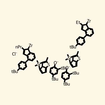 CC(C)(C)c1ccc([O-])c(C(C)(C)C)c1.CC(C)(C)c1ccc([O-])c(C(C)(C)C)c1.CC1=C2C3C(=CC=C3[Si]2(C)C)S1.CC1=C2C3C(=CC=C3[Si]2(C)C)S1.CCC1=Cc2c(-c3ccc(C(C)(C)C)cc3)cccc2[CH]1[Zr].CCCC1=Cc2c(-c3ccc(C(C)(C)C)cc3)cccc2[CH]1[Zr].[Cl-]